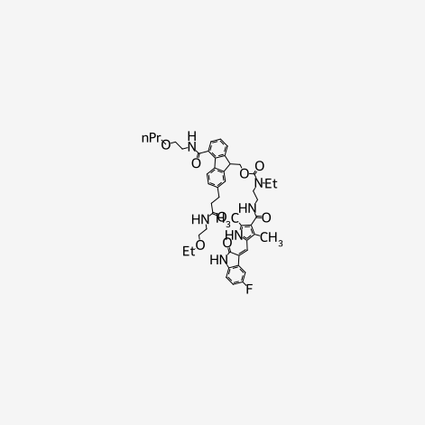 CCCOCCNC(=O)c1cccc2c1-c1ccc(CCC(=O)NCCOCC)cc1C2COC(=O)N(CC)CCNC(=O)c1c(C)[nH]c(/C=C2\C(=O)Nc3ccc(F)cc32)c1C